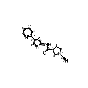 N#CN1CCC(C(=O)Nc2ncc(-c3ccccn3)s2)C1